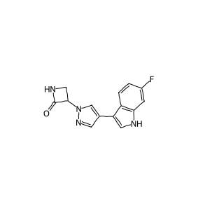 O=C1NCC1n1cc(-c2c[nH]c3cc(F)ccc23)cn1